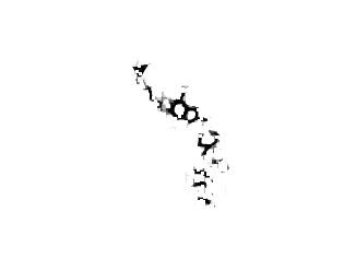 O=C1COc2ncc(N3CC4(CCN(CC5Cc6c(c(F)c7nn(CCNC8CC8)nc7c6F)C5)CC4)OC3=O)nc2N1